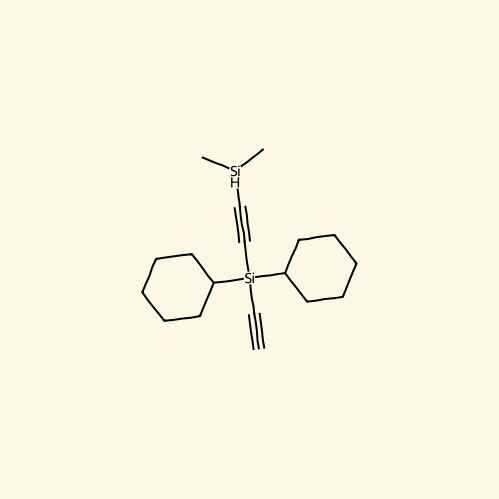 C#C[Si](C#C[SiH](C)C)(C1CCCCC1)C1CCCCC1